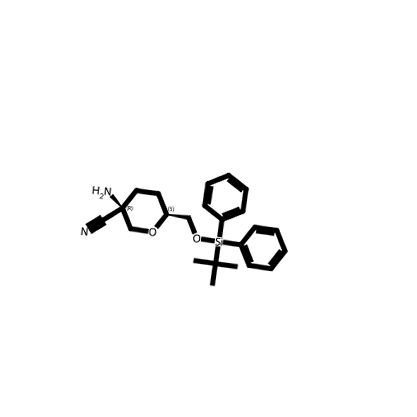 CC(C)(C)[Si](OC[C@@H]1CC[C@@](N)(C#N)CO1)(c1ccccc1)c1ccccc1